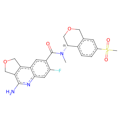 CN(C(=O)c1cc2c3c(c(N)nc2cc1F)COC3)[C@@H]1COCc2cc(S(C)(=O)=O)ccc21